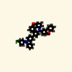 Fc1ccc(-n2c3ccccc3c3cc(-c4ccc(N(c5ccc6oc7ccccc7c6c5)c5cccc6oc7ccccc7c56)cc4)ccc32)cc1